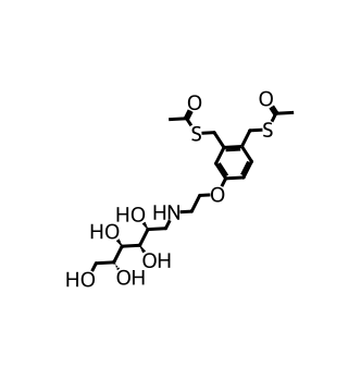 CC(=O)SCc1ccc(OCCNC[C@H](O)[C@@H](O)[C@H](O)[C@H](O)CO)cc1CSC(C)=O